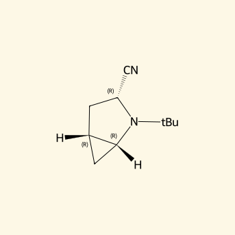 CC(C)(C)N1[C@@H]2C[C@@H]2C[C@@H]1C#N